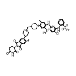 Cc1cc(Nc2ncc(Cl)c(Nc3ccccc3S(=O)(=O)C(C)C)n2)c(OC(C)C)cc1N1CCC(CN2CCC(c3cc4c(cc3F)C(=O)N(C3CCC(=O)NC3=O)C4=O)CC2)CC1